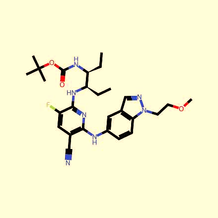 CC[C@H](NC(=O)OC(C)(C)C)[C@@H](CC)Nc1nc(Nc2ccc3c(cnn3CCOC)c2)c(C#N)cc1F